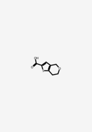 O=C(O)c1cc2c(s1)CCOC2